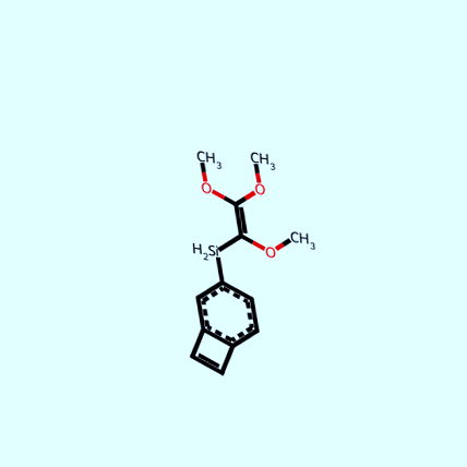 COC(OC)=C(OC)[SiH2]c1ccc2c(c1)C=C2